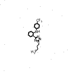 FC(F)(F)c1ccc(Nc2ccccc2-c2nnn(CCCP)n2)cc1